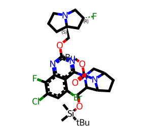 CC(C)(C)OC(=O)N1C2CCC1C(CO[Si](C)(C)C(C)(C)C)N(c1nc(OC[C@@]34CCCN3C[C@H](F)C4)nc3c(F)c(Cl)cc(Br)c13)C2